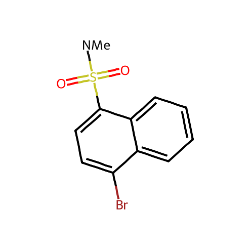 [CH2]NS(=O)(=O)c1ccc(Br)c2ccccc12